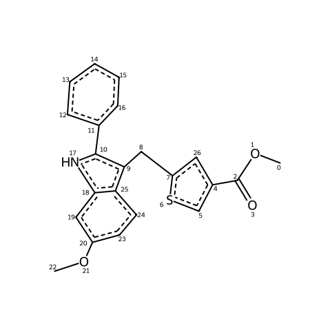 COC(=O)c1csc(Cc2c(-c3ccccc3)[nH]c3cc(OC)ccc23)c1